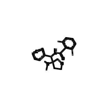 Cc1cccc(C)c1C(=O)NC(c1ccccc1)C1(N(C)C)CCOC1